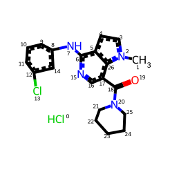 Cl.Cn1ccc2c(Nc3cccc(Cl)c3)ncc(C(=O)N3CCCCC3)c21